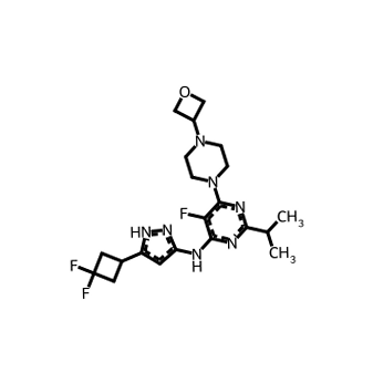 CC(C)c1nc(Nc2cc(C3CC(F)(F)C3)[nH]n2)c(F)c(N2CCN(C3COC3)CC2)n1